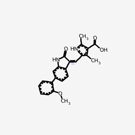 COc1ccccc1-c1ccc2c(c1)NC(=O)/C2=C\c1[nH]c(C)c(C(=O)O)c1C